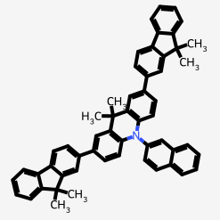 CC1(C)c2ccccc2-c2ccc(-c3ccc4c(c3)C(C)(C)c3cc(-c5ccc6c(c5)C(C)(C)c5ccccc5-6)ccc3N4c3ccc4ccccc4c3)cc21